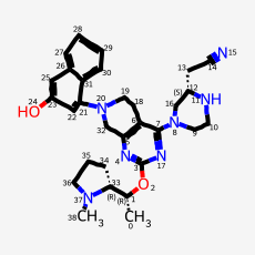 C[C@@H](Oc1nc2c(c(N3CCN[C@@H](CC#N)C3)n1)CCN(c1cc(O)cc3ccccc13)C2)[C@H]1CCCN1C